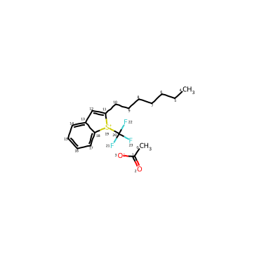 CC(=O)[O-].CCCCCCCc1cc2ccccc2[s+]1C(F)(F)F